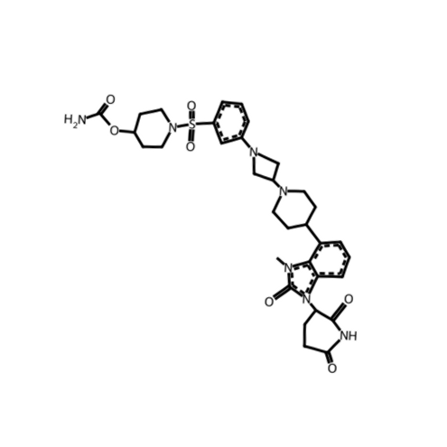 Cn1c(=O)n(C2CCC(=O)NC2=O)c2cccc(C3CCN(C4CN(c5cccc(S(=O)(=O)N6CCC(OC(N)=O)CC6)c5)C4)CC3)c21